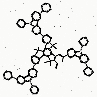 C=CC1=C(/C=C(\C)c2ccc3c(c2)c2cc(-c4ccccc4)ccc2n3-c2ccccc2)c2c(c3c(c4c2C(C)(C)c2ccc(-c5ccc6c(c5)c5cc(-c7ccccc7)ccc5n6-c5ccccc5)cc2-4)C(C)(C)c2ccc(-c4ccc5c(c4)c4cc(-c6ccccc6)ccc4n5-c4ccccc4)cc2-3)C1(C)C